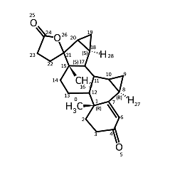 C[C@]12CCC(=O)C=C1[C@@H]1CC1C1C2CC[C@@]2(C)C1[C@@H]1CC1C21CCC(=O)O1